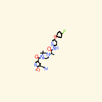 COc1ncc(C(=O)N2CCN(C(C)C(=O)Nc3ccc(Oc4ccc(F)cc4)cn3)CC2(C)C)cc1C#N